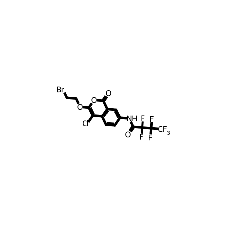 O=C(Nc1ccc2c(Cl)c(OCCBr)oc(=O)c2c1)C(F)(F)C(F)(F)C(F)(F)F